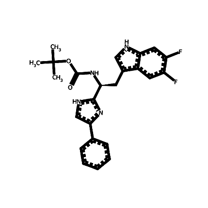 CC(C)(C)OC(=O)N[C@@H](Cc1c[nH]c2cc(F)c(F)cc12)c1nc(-c2ccccc2)c[nH]1